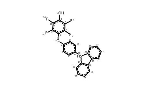 Oc1c(F)c(F)c(Oc2ccc([SH]3c4ccccc4-c4ccccc43)cc2)c(F)c1F